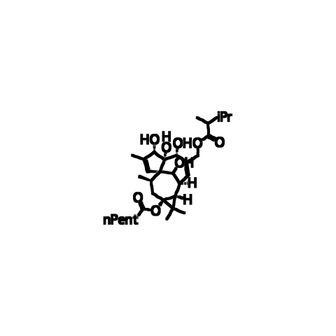 CCCCCC(=O)O[C@@]12C[C@@H](C)[C@]34C=C(C)[C@H](O)[C@@]3(O)[C@H](O)C(COC(=O)C(C)C(C)C)=C[C@H](C4O)[C@@H]1C2(C)C